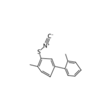 [C-]#[N+]Sc1cc(-c2ccccc2C)ccc1C